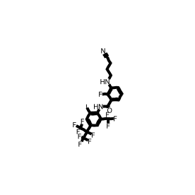 N#CCCCNc1cccc(C(=O)Nc2c(I)cc(C(F)(C(F)(F)F)C(F)(F)F)cc2C(F)(F)F)c1F